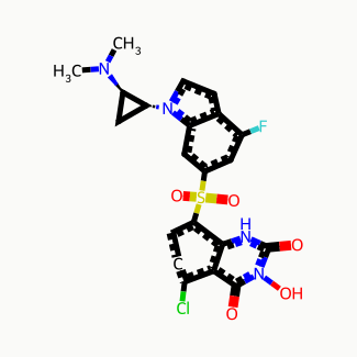 CN(C)[C@@H]1C[C@H]1n1ccc2c(F)cc(S(=O)(=O)c3ccc(Cl)c4c(=O)n(O)c(=O)[nH]c34)cc21